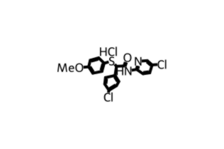 COc1ccc(SC(C(=O)Nc2ccc(Cl)cn2)c2ccc(Cl)cc2)cc1.Cl